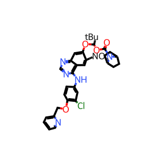 CC(C)(C)C(OC(=O)N1C2CCC1CC2)Oc1cc2ncnc(Nc3ccc(OCc4ccccn4)c(Cl)c3)c2cc1[N+](=O)[O-]